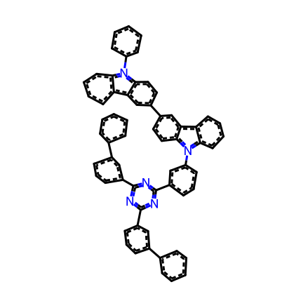 c1ccc(-c2cccc(-c3nc(-c4cccc(-c5ccccc5)c4)nc(-c4cccc(-n5c6ccccc6c6cc(-c7ccc8c(c7)c7ccccc7n8-c7ccccc7)ccc65)c4)n3)c2)cc1